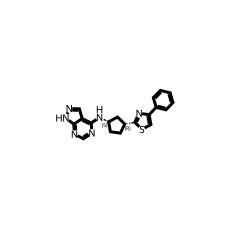 c1ccc(-c2csc([C@@H]3CC[C@H](Nc4ncnc5[nH]ncc45)C3)n2)cc1